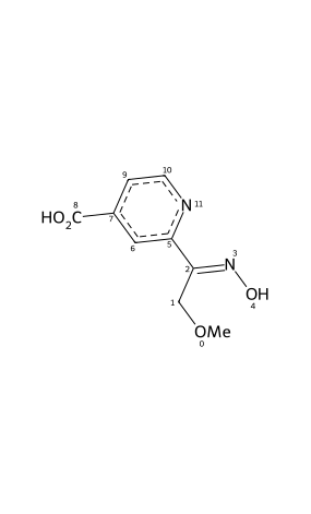 COC/C(=N\O)c1cc(C(=O)O)ccn1